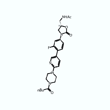 CCCCC(=O)N1CCN(c2ccc(-c3ccc(N4C[C@H](CNC(C)=O)OC4=O)cc3F)cn2)CC1